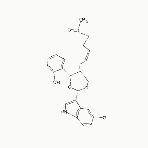 CC(=O)CC/C=C\C[C@@H]1CO[C@H](c2c[nH]c3ccc(Cl)cc23)O[C@@H]1c1ccccc1O